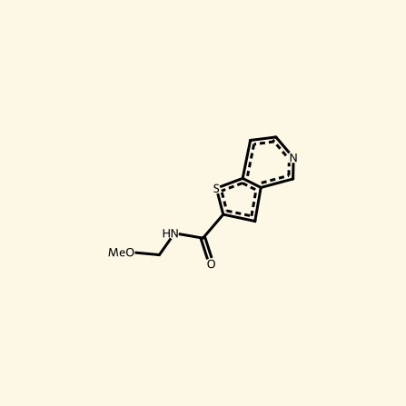 COCNC(=O)c1cc2cnccc2s1